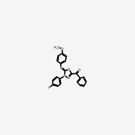 COc1ccc(N=c2oc(C(=O)c3ccccc3)nn2-c2ccc(F)cc2)cc1